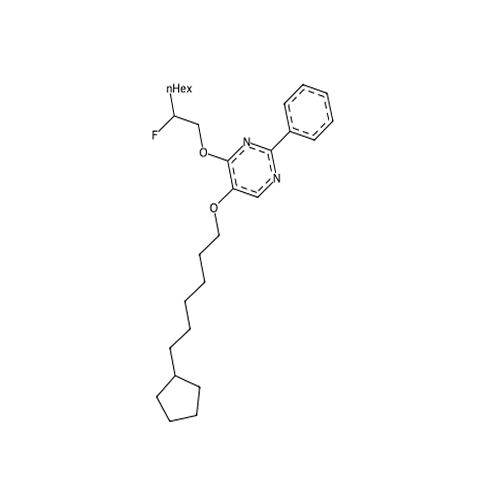 CCCCCCC(F)COc1nc(-c2ccccc2)ncc1OCCCCCCC1CCCC1